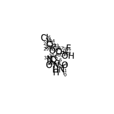 CCNC(=O)c1cc2c(-c3cc(C(C)(O)CF)ccc3Oc3c(C)cc(Cl)cc3C)cn(C)c(=O)c2[nH]1